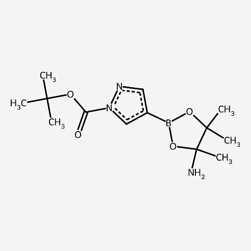 CC(C)(C)OC(=O)n1cc(B2OC(C)(C)C(C)(N)O2)cn1